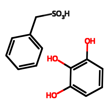 O=S(=O)(O)Cc1ccccc1.Oc1cccc(O)c1O